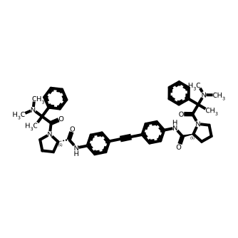 CN(C)C(C)(C(=O)N1CCC[C@H]1C(=O)Nc1ccc(C#Cc2ccc(NC(=O)[C@@H]3CCCN3C(=O)C(C)(c3ccccc3)N(C)C)cc2)cc1)c1ccccc1